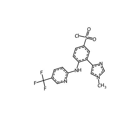 Cn1cnc(-c2cc(S(=O)(=O)Cl)ccc2Nc2ccc(C(F)(F)F)cn2)c1